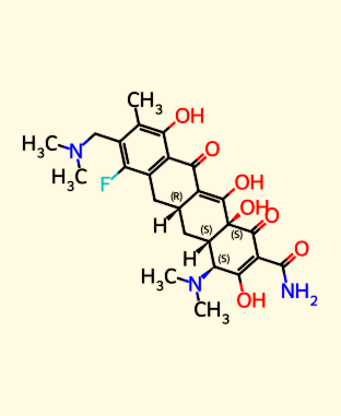 Cc1c(O)c2c(c(F)c1CN(C)C)C[C@H]1C[C@H]3[C@H](N(C)C)C(O)=C(C(N)=O)C(=O)[C@@]3(O)C(O)=C1C2=O